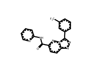 O=C(Nc1ccccn1)c1ccc2nnc(-c3cccc(C(F)(F)F)c3)n2n1